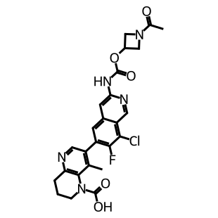 CC(=O)N1CC(OC(=O)Nc2cc3cc(-c4cnc5c(c4C)N(C(=O)O)CCC5)c(F)c(Cl)c3cn2)C1